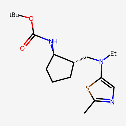 CCN(C[C@@H]1CCC[C@H]1NC(=O)OC(C)(C)C)c1cnc(C)s1